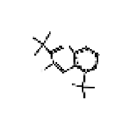 C=C(/C(F)=C\c1c(C)cccc1C(C)(C)C)C(C)(C)C